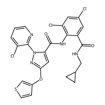 O=C(NCC1CC1)c1cc(Cl)cc(Cl)c1NC(=O)c1cc(Oc2ccsc2)nn1-c1ncccc1Cl